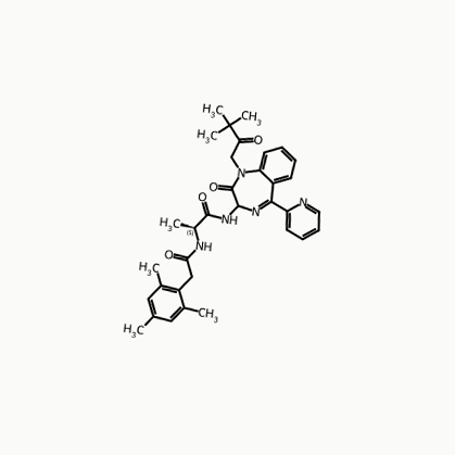 Cc1cc(C)c(CC(=O)N[C@@H](C)C(=O)NC2N=C(c3ccccn3)c3ccccc3N(CC(=O)C(C)(C)C)C2=O)c(C)c1